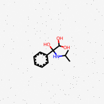 CC(C)NC(O)(c1ccccc1)C(O)O